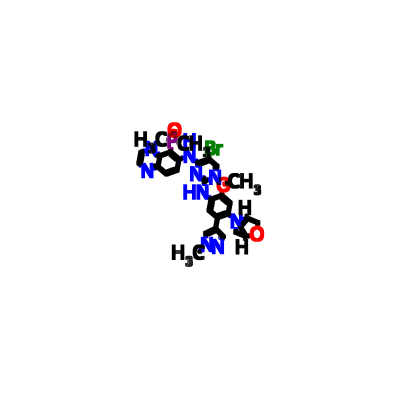 COc1cc(N2C[C@@H]3C[C@H]2CO3)c(-c2cnn(C)c2)cc1Nc1ncc(Br)c(Nc2ccc3nccnc3c2P(C)(C)=O)n1